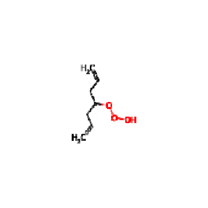 C=CC[C](CC=C)OOO